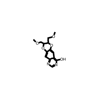 COCC1Oc2cc3ncnc(O)c3cc2OC1COC